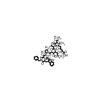 CCC(C)C(C(CC(=O)N1CCC[C@H]1C(OC)C(C)C(=O)NC(Cc1c[nH]c2ccccc12)C(=O)NCc1ccccc1)OC)N(C)C(=O)C(NC(=O)C(C(C)C)N(C)CCCCCC(=O)O)C(C)C